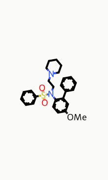 COc1ccc(N(CCN2CCCCC2)S(=O)(=O)c2ccccc2)c(-c2ccccc2)c1